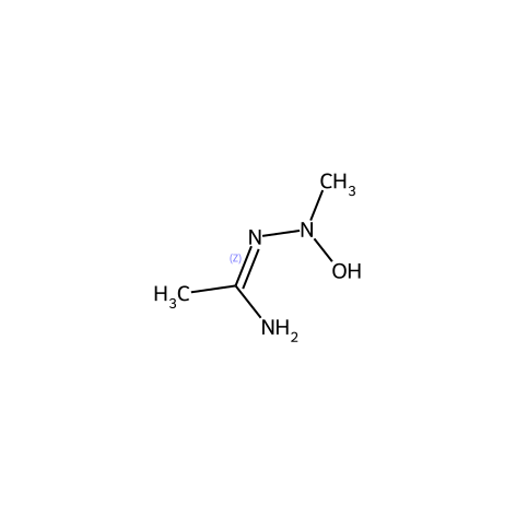 C/C(N)=N/N(C)O